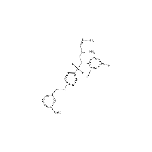 COc1cccc(COc2ccc(C(F)(F)C(CN(N)/C=N\N)c3ccc(F)cc3F)nc2)c1